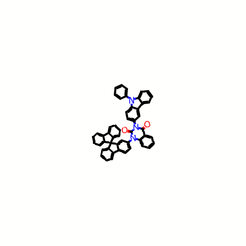 O=c1c2ccccc2n(-c2ccc3c(c2)C2(c4ccccc4-c4ccccc42)c2ccccc2-3)c(=O)n1-c1ccc2c(c1)c1ccccc1n2-c1ccccc1